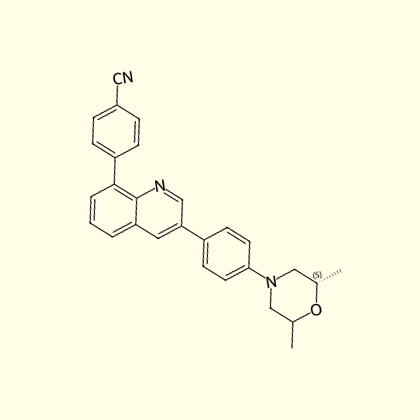 CC1CN(c2ccc(-c3cnc4c(-c5ccc(C#N)cc5)cccc4c3)cc2)C[C@H](C)O1